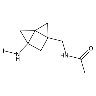 CC(=O)NCC12CC3(NI)CC13C2